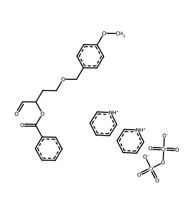 COc1ccc(COCCC(C=O)OC(=O)c2ccccc2)cc1.[O]=[Cr](=[O])([O-])[O][Cr](=[O])(=[O])[O-].c1cc[nH+]cc1.c1cc[nH+]cc1